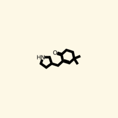 CC1(C)C=C(CC2CCNC2)C(=O)CC1